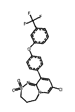 O=S1(=O)CCCN2C=C(Cl)C=C(c3ccc(Oc4cccc(C(F)(F)F)c4)cc3)C2=N1